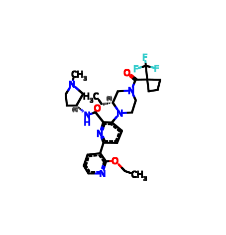 CCOc1ncccc1-c1ccc(N2CCN(C(=O)C3(C(F)(F)F)CCC3)C[C@H]2CC)c(C(=O)N[C@@H]2CCN(C)C2)n1